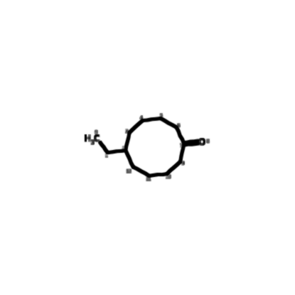 CCC1CCCCC(=O)CCCC1